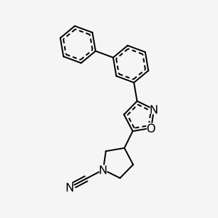 N#CN1CCC(c2cc(-c3cccc(-c4ccccc4)c3)no2)C1